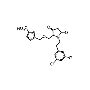 O=C(O)c1ccc(COCC2C(=O)CC(=O)N2CCc2cc(Cl)cc(Cl)c2)s1